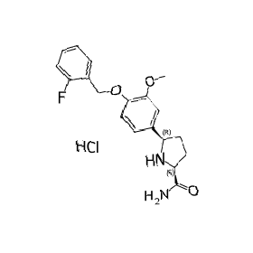 COc1cc([C@H]2CC[C@@H](C(N)=O)N2)ccc1OCc1ccccc1F.Cl